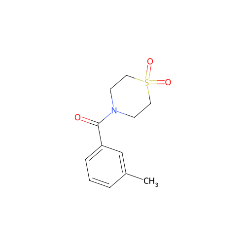 Cc1cccc(C(=O)N2CCS(=O)(=O)CC2)c1